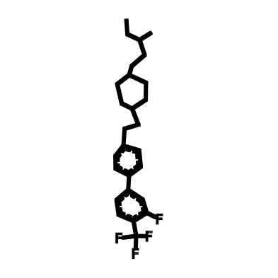 CCC(C)CCC1CCC(CCc2ccc(-c3ccc(C(F)(F)F)c(F)c3)cc2)CC1